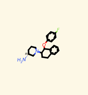 N[C@@H]1CCCN(C2CCc3ccccc3C2Oc2ccc(F)cc2)C1